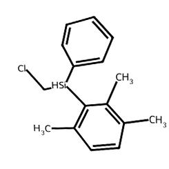 Cc1ccc(C)c([SiH](CCl)c2ccccc2)c1C